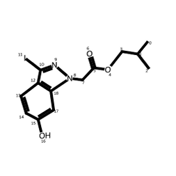 CC(C)COC(=O)Cn1nc(I)c2ccc(O)cc21